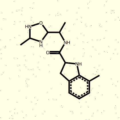 Cc1cccc2c1NC(C(=O)NC(C)C1NC(C)NO1)C2